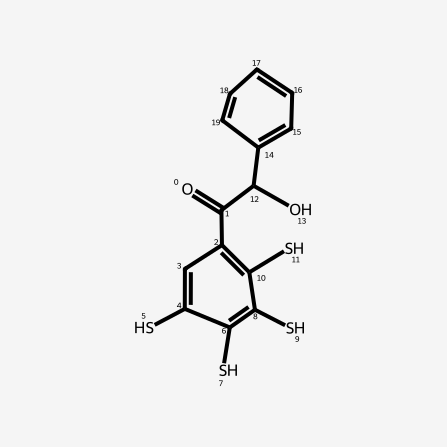 O=C(c1cc(S)c(S)c(S)c1S)C(O)c1ccccc1